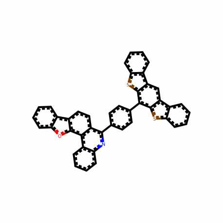 c1ccc2c(c1)nc(-c1ccc(-c3c4sc5ccccc5c4cc4c3sc3ccccc34)cc1)c1ccc3c4ccccc4oc3c12